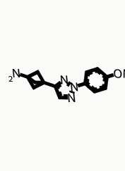 COc1ccc(-n2ncc(C34CC(N)(C3)C4)n2)cc1